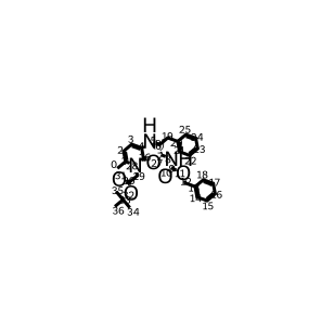 Cc1ccc(N[C@@H](CNC(=O)OCc2ccccc2)Cc2ccccc2)c(=O)n1CC(=O)OC(C)(C)C